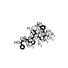 CC[C@H](C)[C@@H]([C@@H](CC(=O)N1CCC[C@H]1[C@H](OC)[C@@H](C)C(=O)N[C@H](C)[C@@H](O)c1ccccc1)OC)N(C)C(=O)[C@@H](NC(=O)[C@H](C(C)C)N(C)Cc1cccc(NC)c1)C(C)C